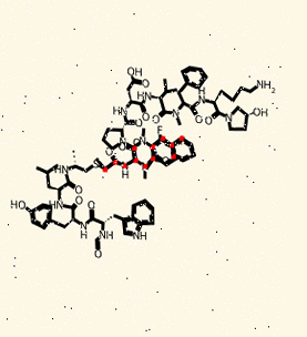 CCCC[C@@H](C(=O)N1CCC[C@@H]1C(=O)N[C@@H](CC(=O)O)C(=O)N[C@H](C(=O)N(C)C(Cc1ccccc1)C(=O)N[C@@H](CCCCN)C(=O)N1CC[C@@H](O)C1)C(C)C)N(C)C(=O)[C@H](Cc1ccccc1)N(C)C(=O)[C@H](Cc1ccc(F)c(F)c1)NC(=O)CSC[C@@H](C)NC(=O)[C@H](CC(C)C)NC(=O)[C@H](Cc1ccc(O)cc1)NC(=O)[C@H](Cc1c[nH]c2ccccc12)NC=O